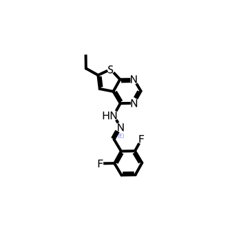 CCc1cc2c(N/N=C/c3c(F)cccc3F)ncnc2s1